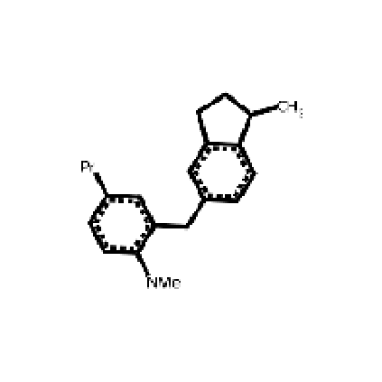 CNc1ccc(C(C)C)cc1Cc1ccc2c(c1)CCC2C